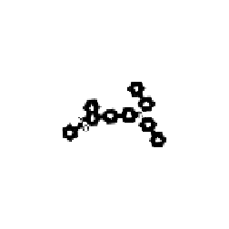 C1=C(C2=c3ccccc3=C3N=C(c4ccccc4)OC3C2)CCC(c2ccc(N(c3ccc(-c4ccccc4)cc3)c3cccc(-c4ccccc4)c3)cc2)=C1